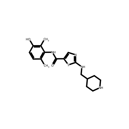 Cc1ccc(O)c(C)c1NC(=O)c1cnc(NCC2CCNCC2)s1